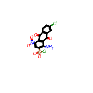 Nc1c(S(=O)(=O)Cl)cc([N+](=O)[O-])c2c1C(=O)c1cc(Cl)ccc1C2=O